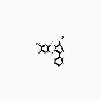 O=COc1cnc(-c2ccccc2)nc1Oc1cc(Cl)c(Cl)cc1Cl